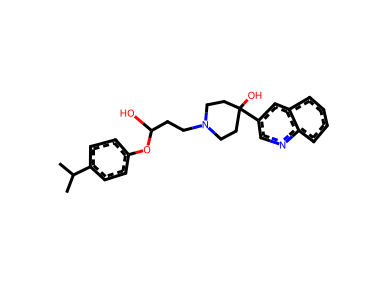 CC(C)c1ccc(OC(O)CCN2CCC(O)(c3cnc4ccccc4c3)CC2)cc1